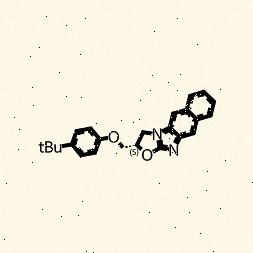 CC(C)(C)c1ccc(OC[C@@H]2Cn3c(nc4cc5ccccc5cc43)O2)cc1